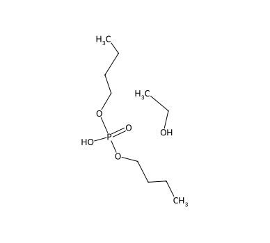 CCCCOP(=O)(O)OCCCC.CCO